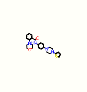 O=C(Nc1ccc(N2CCN(c3cccs3)CC2)cc1)c1ccccc1N1CCOCC1